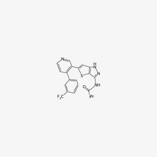 CC(C)C(=O)Nc1n[nH]c2cc(-c3cnccc3-c3cccc(C(F)(F)F)c3)sc12